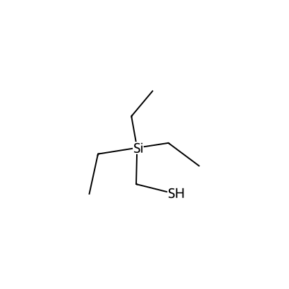 CC[Si](CC)(CC)CS